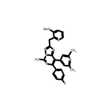 COc1cccnc1Cc1nc2c(-c3cc(C)nc(C)c3)c(-c3ccc(F)cc3)nc(N)n2n1